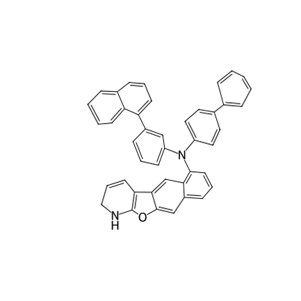 C1=Cc2c(oc3cc4cccc(N(c5ccc(-c6ccccc6)cc5)c5cccc(-c6cccc7ccccc67)c5)c4cc23)NC1